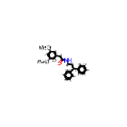 COc1cc(CC(=O)NCCC(c2ccccc2)c2ccccc2)cc(OC)c1